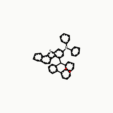 c1ccc(-c2ccccc2C(c2ccccc2)c2cc(N(c3ccccc3)c3ccccc3)cc3sc4c5ccccc5ccc4c23)cc1